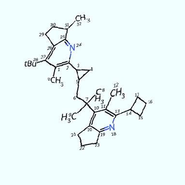 Cc1c(C2CC2CC(C)(C)c2c(C)c(C3CCC3)nc3c2CCC3)nc2c(c1C(C)(C)C)CCC2C